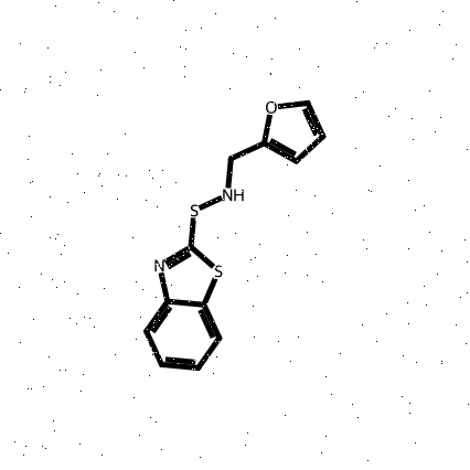 c1coc(CNSc2nc3ccccc3s2)c1